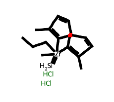 CC[CH2][Zr]([CH3])(=[SiH2])([C]1=C(C)C=CC1)[C]1=C(C)C=CC1.Cl.Cl